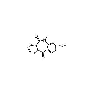 Cn1c(=O)c2ccccc2c(=O)c2ccc(O)cc21